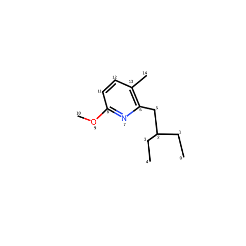 CCC(CC)Cc1nc(OC)ccc1C